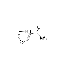 NC(=O)C1=COC=CN1